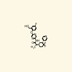 CC(C(=O)Nc1cnc(Oc2ccc(F)cc2CO)cn1)N1CCC(F)(F)[C@@H](c2ccncc2)C1